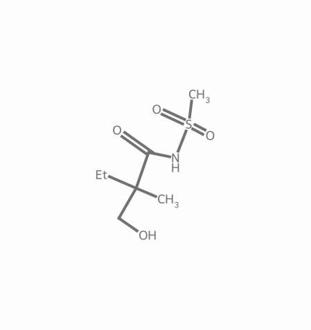 CCC(C)(CO)C(=O)NS(C)(=O)=O